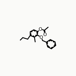 CCCc1ccc(OC(C)=O)c(OCc2ccccc2)c1C